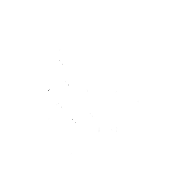 C=CC(=O)N1CCN(C2=NS(O)(O)N(c3ccccc3C(C)C)c3nc(-c4c(O)cccc4F)c(F)cc32)[C@@H](C)C1